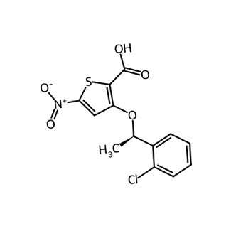 C[C@@H](Oc1cc([N+](=O)[O-])sc1C(=O)O)c1ccccc1Cl